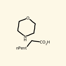 C1COCCN1.CCCCCCC(=O)O